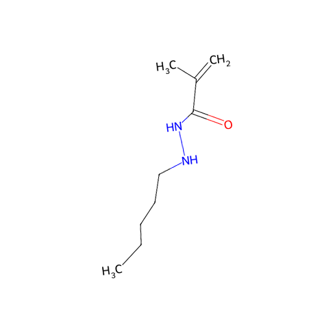 C=C(C)C(=O)NNCCCCC